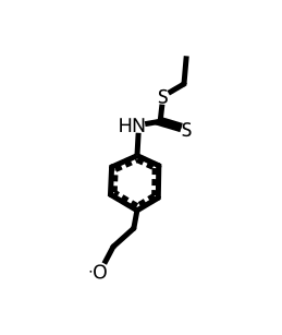 CCSC(=S)Nc1ccc(CC[O])cc1